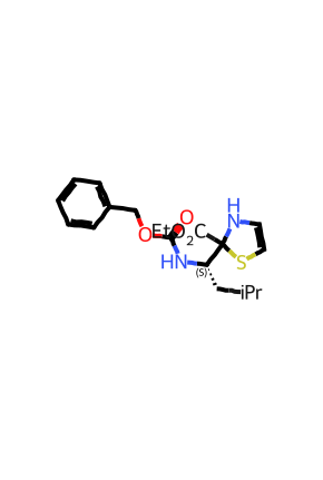 CCOC(=O)C1([C@H](CC(C)C)NC(=O)OCc2ccccc2)NC=CS1